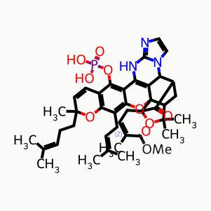 COC(=O)/C(C)=C\CC12OC(C)(C)C3CC(C1=O)C1C4=C(Nc5nccn51)c1c(OP(=O)(O)O)c5c(c(CC=C(C)C)c1OC432)OC(C)(CCC=C(C)C)C=C5